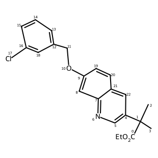 CCOC(=O)C(C)(C)c1cnc2cc(OCc3cccc(Cl)c3)ccc2c1